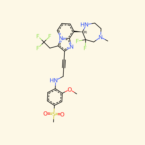 COc1cc(S(C)(=O)=O)ccc1NCC#Cc1nc2c([C@H]3NCCN(C)CC3(F)F)cccn2c1CC(F)(F)F